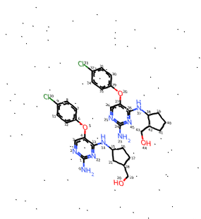 Nc1ncc(Oc2ccc(Cl)cc2)c(NC2CCC(CO)C2)n1.Nc1ncc(Oc2ccc(Cl)cc2)c(NC2CCCC2CO)n1